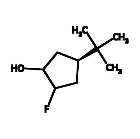 CC(C)(C)[C@@H]1CC(O)C(F)C1